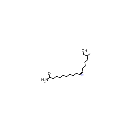 CC(CO)CCCC/C=C\CCCCCCCCC(N)=O